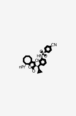 CCC[C@@H]1CCCCCc2c1oc(=O)c([C@@H](c1cccc(NS(=O)(=O)c3ccc(C#N)cc3)c1)C1CC1)c2O